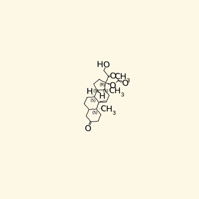 CC(=O)O[C@]1(C(=O)CO)CC[C@H]2[C@@H]3CCC4CC(=O)CC[C@]4(C)C3=CC[C@@]21C